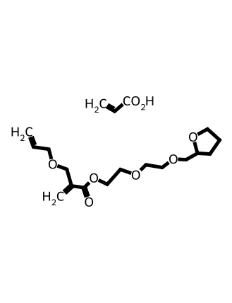 C=CC(=O)O.C=CCOCC(=C)C(=O)OCCOCCOCC1CCCO1